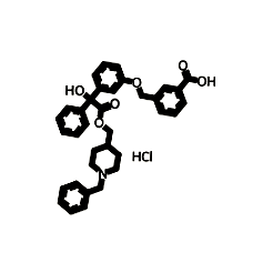 Cl.O=C(O)c1cccc(COc2cccc(C(O)(C(=O)OCC3CCN(Cc4ccccc4)CC3)c3ccccc3)c2)c1